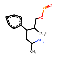 CC(N)CC(c1ccccc1)C(COP=O)C(=O)O